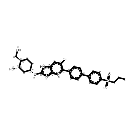 CCCS(=O)(=O)c1ccc(-c2ccc(-c3nc4nc(O[C@H]5CC[C@H](CO)[C@@H](O)C5)[nH]c4cc3Cl)cc2)cc1